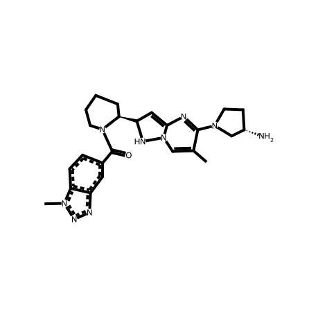 CC1=CN2NC([C@@H]3CCCCN3C(=O)c3ccc4c(c3)nnn4C)C=C2N=C1N1CC[C@H](N)C1